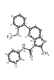 Cc1nc2ccc(-c3ccccc3OC(F)(F)F)nn2c1C(=O)Nc1cccnn1